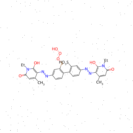 CCn1c(O)c(N=Nc2ccc(-c3ccc(N=Nc4c(C)cc(=O)n(CC)c4O)cc3S(=O)(=O)O)c(SOOO)c2)c(C)cc1=O